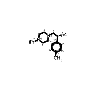 CC(=O)[C@H](CN1CCN(C(C)C)CC1)c1ccc(C)cc1